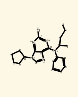 CCCC(C)N(c1ccccc1)c1nc(Cl)nc2c1ncn2C1CCCC1